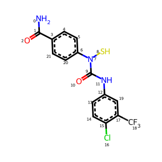 NC(=O)c1ccc(N(S)C(=O)Nc2ccc(Cl)c(C(F)(F)F)c2)cc1